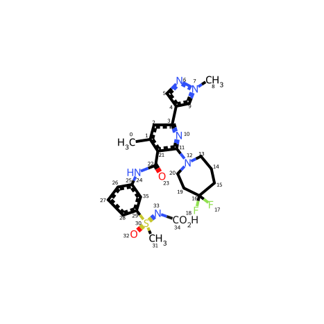 Cc1cc(-c2cnn(C)c2)nc(N2CCCC(F)(F)CC2)c1C(=O)Nc1cccc(S(C)(=O)=NC(=O)O)c1